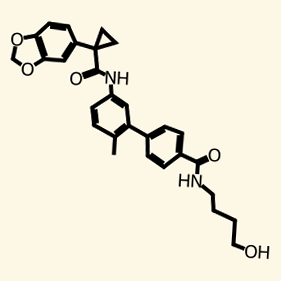 Cc1ccc(NC(=O)C2(c3ccc4c(c3)OCO4)CC2)cc1-c1ccc(C(=O)NCCCCO)cc1